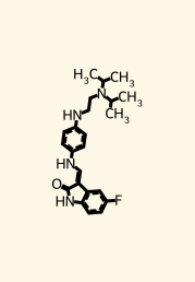 CC(C)N(CCNc1ccc(NC=C2C(=O)Nc3ccc(F)cc32)cc1)C(C)C